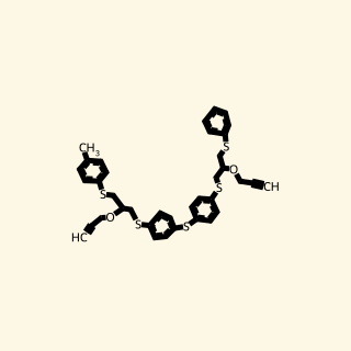 C#CCOC(CSc1ccccc1)CSc1ccc(Sc2ccc(SCC(CSc3ccc(C)cc3)OCC#C)cc2)cc1